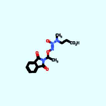 CC(ON=[N+]([O-])N(C)CCC(=O)O)N1C(=O)c2ccccc2C1=O